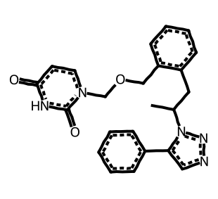 CC(Cc1ccccc1COCn1ccc(=O)[nH]c1=O)n1nncc1-c1ccccc1